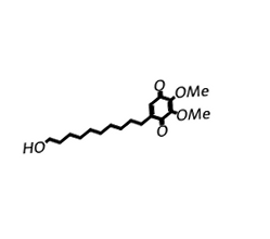 COC1=C(OC)C(=O)C(CCCCCCCCCCO)=CC1=O